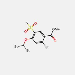 CCc1cc(OC(CC)CC)c(S(C)(=O)=O)cc1C(=O)OC